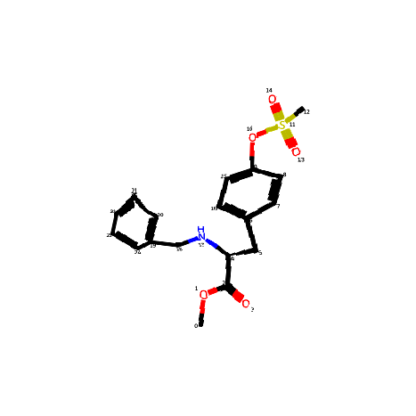 COC(=O)[C@H](Cc1ccc(OS(C)(=O)=O)cc1)NCc1ccccc1